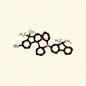 CC(C)(C)c1ccc2c(c1)C(C)(C)c1cccc(-c3ccccc3N(c3ccccc3)c3ccc4c(c3)C(C)(C)c3ccccc3-4)c1-2